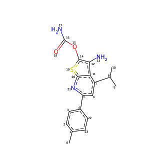 Cc1ccc(-c2cc(C(C)C)c3c(N)c(OC(N)=O)sc3n2)cc1